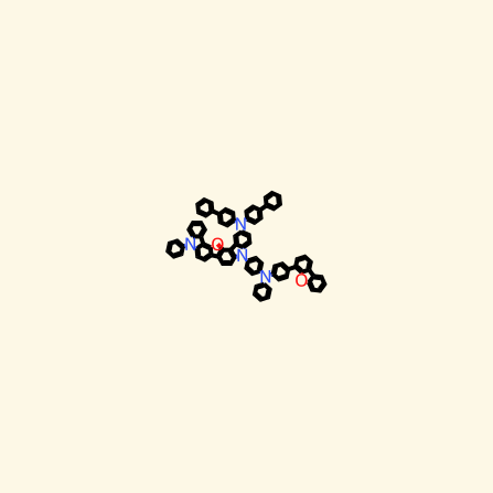 c1ccc(-c2ccc(N(c3ccc(-c4ccccc4)cc3)c3ccc4c(c3)c3c5oc6c(ccc7c6c6ccccc6n7-c6ccccc6)c5ccc3n4-c3ccc(N(c4ccccc4)c4ccc(-c5cccc6c5oc5ccccc56)cc4)cc3)cc2)cc1